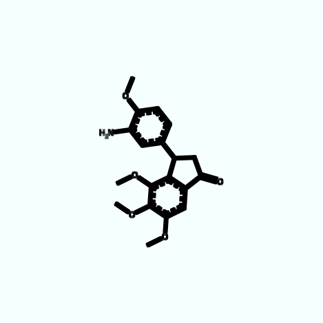 COc1ccc(C2CC(=O)c3cc(OC)c(OC)c(OC)c32)cc1N